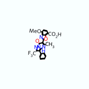 COc1ccc(C(=O)O)c2oc(-c3c(C)[nH]c4c(-c5ccccc5)c(C(F)(F)F)nn4c3=O)nc12